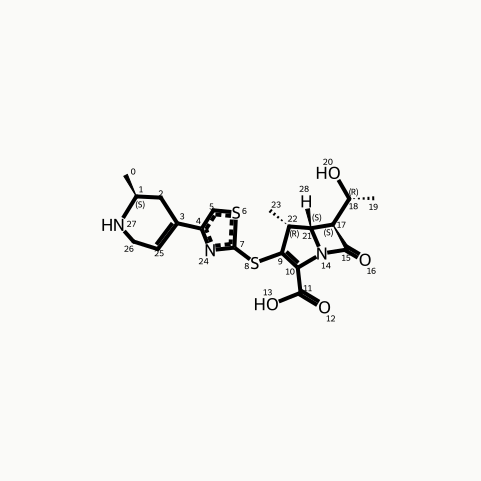 C[C@H]1CC(c2csc(SC3=C(C(=O)O)N4C(=O)[C@H]([C@@H](C)O)[C@H]4[C@H]3C)n2)=CCN1